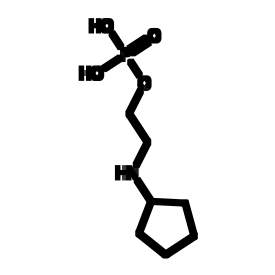 O=P(O)(O)OCCNC1CCCC1